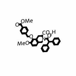 COC(=O)c1ccc(COc2c(OC)ccc3c2CC(C(=O)O)N(C(=O)C(c2ccccc2)c2ccccc2)C3)cc1